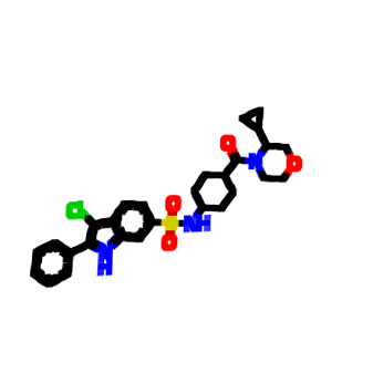 O=C(C1CCC(NS(=O)(=O)c2ccc3c(Cl)c(-c4ccccc4)[nH]c3c2)CC1)N1CCOCC1C1CC1